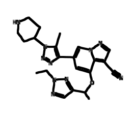 CCn1ncc(C(C)Oc2cc(-c3nnn(C4CCNCC4)c3C)cn3ncc(C#N)c23)n1